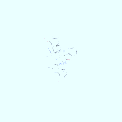 COc1cccc2c(NC(C(N)=O)(c3ccccc3)C(N)(c3ccccc3)C(N)c3cc(C)nc4c(OC)cccc34)cc(C)nc12